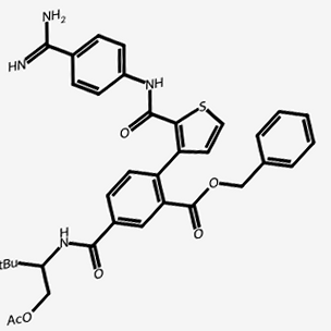 CC(=O)OCC(NC(=O)c1ccc(-c2ccsc2C(=O)Nc2ccc(C(=N)N)cc2)c(C(=O)OCc2ccccc2)c1)C(C)(C)C